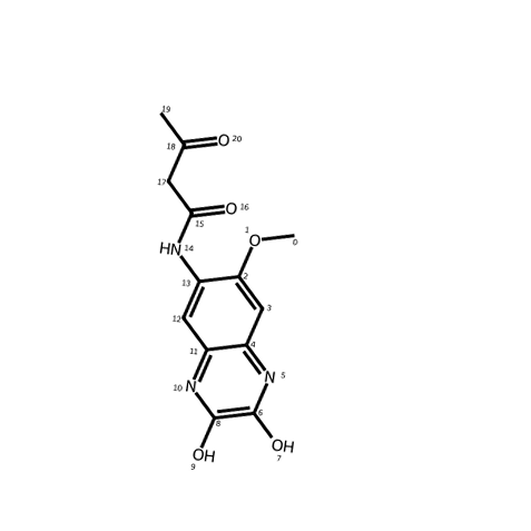 COc1cc2nc(O)c(O)nc2cc1NC(=O)CC(C)=O